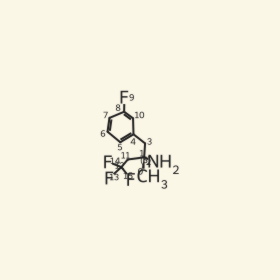 C[C@](N)(Cc1cccc(F)c1)CC(F)(F)F